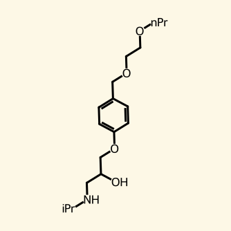 CCCOCCOCc1ccc(OCC(O)CNC(C)C)cc1